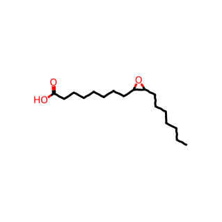 CCCCCCCC1OC1CCCCCCCC(=O)O